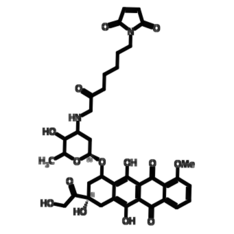 COc1cccc2c1C(=O)c1c(O)c3c(c(O)c1C2=O)C[C@@](O)(C(=O)CO)CC3O[C@@H]1CC(NCC(=O)CCCCCN2C(=O)C=CC2=O)C(O)C(C)O1